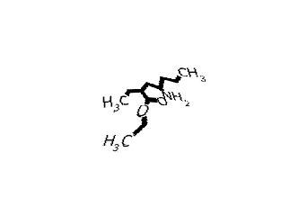 CCCC(N)CC(CC)C(=O)OCC